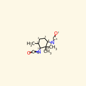 CC1CCC(N=C=O)C(C)(C)C1N=C=O